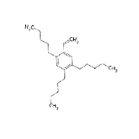 C=Cc1cc(CCCCC)c(CCCCC)cc1CCCCC